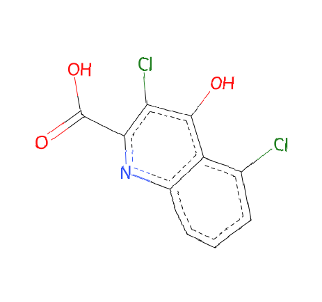 O=C(O)c1nc2cccc(Cl)c2c(O)c1Cl